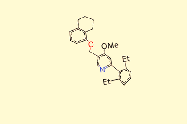 CCc1cccc(CC)c1-c1cc(OC)c(COc2cccc3c2CCCC3)cn1